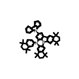 CC1(C)CCC(C)(C)c2cc(N3c4cc5c(cc4B4c6cc7c(cc6-c6cc(-n8c9ccccc9c9ccccc98)cc3c64)C(C)(C)CCC7(C)C)C(C)(C)CCC5(C)C)ccc21